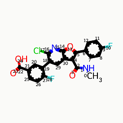 CNC(=O)c1c(-c2ccc(F)cc2)oc2nc(Cl)c(-c3cc(C(=O)O)ccc3F)cc12